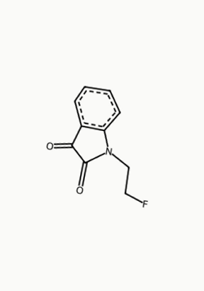 O=C1C(=O)N(CCF)c2ccccc21